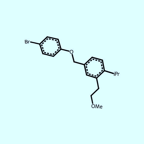 COCCc1cc(COc2ccc(Br)cc2)ccc1C(C)C